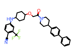 N#Cc1ccc(NC2CCC(OCC(=O)N3CCC(c4ccc(-c5ccccc5)cc4)CC3)CC2)cc1C(F)(F)F